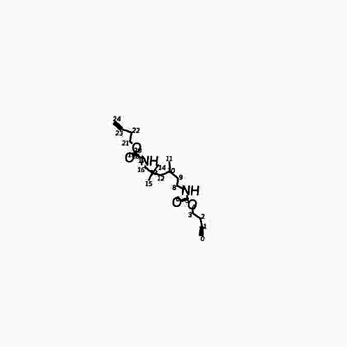 C#CCCOC(=O)NCCC(C)CC(C)(C)CNC(=O)OCCC#C